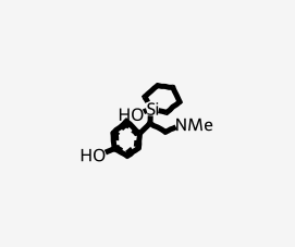 CNCC(c1ccc(O)cc1)[Si]1(O)CCCCC1